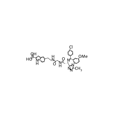 COc1ccc2c(c1)C(c1ccc(Cl)cc1)=N[C@@H](CC(=O)NCC(=O)NCCc1ccc3[nH]c(B(O)O)cc3c1)c1nnc(C)n1-2